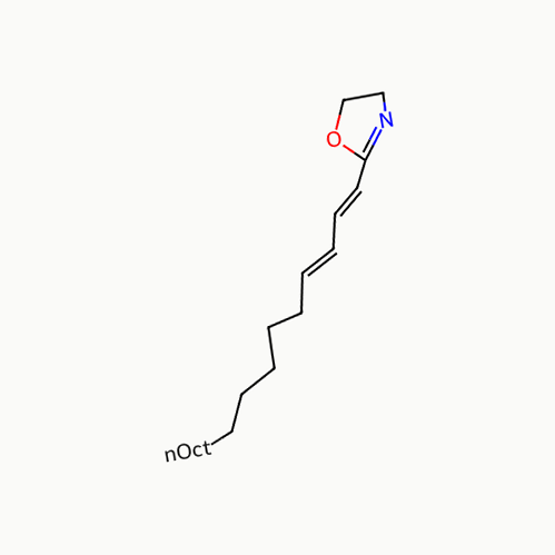 CCCCCCCCCCCCCC=CC=CC1=NCCO1